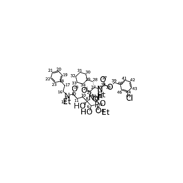 CCOP(=O)(OCC)C(O)C(O)(CCC(=O)N(CC)CCc1ccccc1)NC(=O)[C@H](CC1CCCCC1)NC(=O)OCc1cccc(Cl)c1